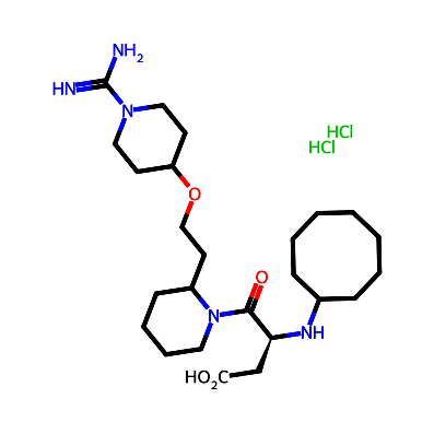 Cl.Cl.N=C(N)N1CCC(OCCC2CCCCN2C(=O)[C@H](CC(=O)O)NC2CCCCCCC2)CC1